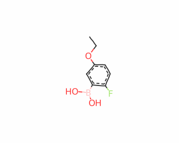 CCOc1ccc(F)c(B(O)O)c1